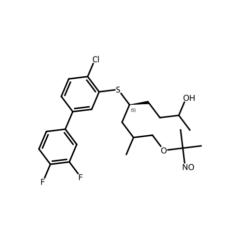 CC(O)CC[C@@H](CC(C)COC(C)(C)N=O)Sc1cc(-c2ccc(F)c(F)c2)ccc1Cl